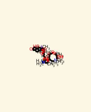 CCC1[C@@H]2CCC3=CC(=O)C=C[C@]3(C)C2[C@@H](O)C[C@]1(C)C(C)(I)C(=O)COC(=O)CCC(=O)O[C@@H]1C(N(C)C)C[C@@H](C)O[C@H]1O[C@@H]1[C@@H](C)C(=O)[C@@H](C)C(=O)O[C@H](CC)[C@@](C)(O)[C@H](O)[C@@H](C)N(C)C[C@H](C)C[C@@]1(C)O